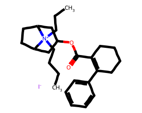 CCCC[N+]1(CCC)C2CCC1CC(OC(=O)C1=C(c3ccccc3)CCCC1)C2.[I-]